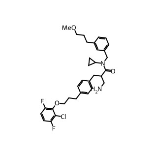 COCCCc1cccc(CN(C(=O)C(CN)Cc2ccc(CCCOc3c(F)ccc(F)c3Cl)cc2)C2CC2)c1